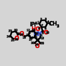 CC(C)[C@@H]1CC[C@@H](C)C[C@@]1(O)C(=O)NCC1(c2cccc(COC3CCCCO3)c2)COC1